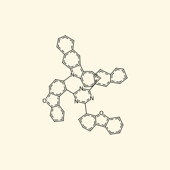 c1ccc2cc(-c3nc(-c4cccc5c4oc4ccccc45)nc(-c4c(-n5c6ccccc6c6cc7ccccc7cc65)ccc5oc6ccccc6c45)n3)ccc2c1